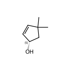 CC1(C)C=C[C@@H](O)C1